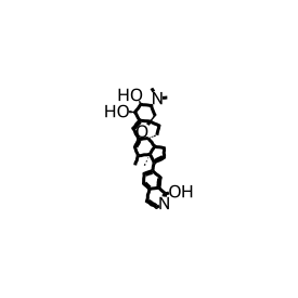 CC1C=C2C=C3[C@@H](O)[C@H](O)[C@@H](N(C)C)C[C@]34CC[C@]2(O4)C2CC=C(c3ccc4ccnc(O)c4c3)[C@@]12C